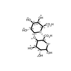 O=C(O)[C@H]1OC(O)[C@H](O)[C@@H](O)C1O[C@H]1O[C@H](C(=O)O)[C@H](O)[C@H](O)[C@H]1O